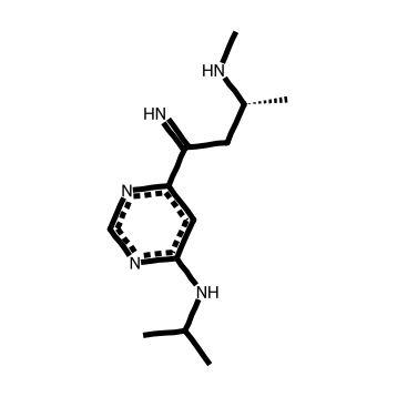 CN[C@H](C)CC(=N)c1cc(NC(C)C)ncn1